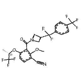 COc1c(C#N)ccc(O[C@@H](C)C(F)(F)F)c1C(=O)N1CC(C(F)(F)c2ccc(C(F)(F)F)cc2)C1